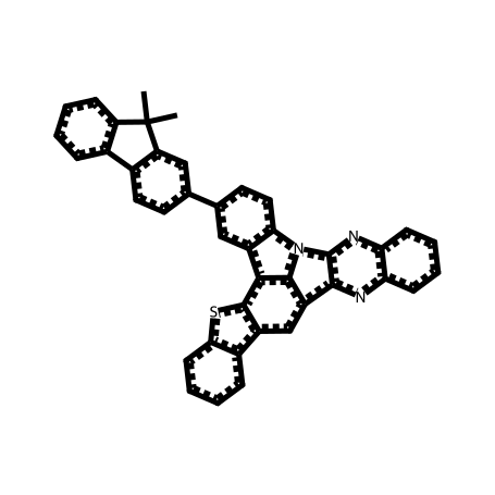 CC1(C)c2ccccc2-c2ccc(-c3ccc4c(c3)c3c5sc6ccccc6c5cc5c6nc7ccccc7nc6n4c53)cc21